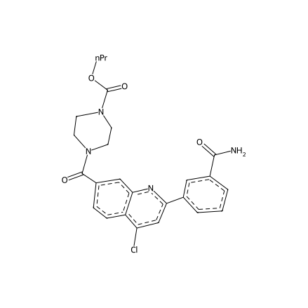 CCCOC(=O)N1CCN(C(=O)c2ccc3c(Cl)cc(-c4cccc(C(N)=O)c4)nc3c2)CC1